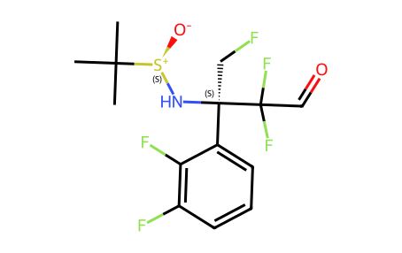 CC(C)(C)[S@@+]([O-])N[C@](CF)(c1cccc(F)c1F)C(F)(F)C=O